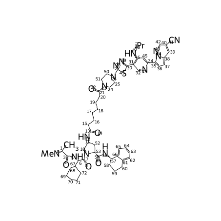 CN[C@@H](C)C(=O)N[C@H](C(=O)N1C[C@@H](NC(=O)CCCCCCC(=O)N2CCN(c3nnc(-c4cnc(-c5ccc6cc(C#N)cnn56)cc4NC(C)C)s3)CC2)C[C@H]1C(=O)N[C@@H]1CCCc2ccccc21)C1CCCCC1